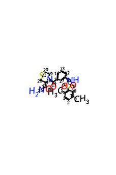 Cc1ccc(C)c(S(=O)(=O)Nc2cccc(C(=O)N3CCSCC3C(N)=O)c2)c1